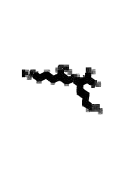 CCC=C/C(=N\C=C(/C)CCCC)C(F)F